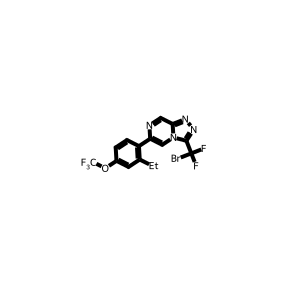 CCc1cc(OC(F)(F)F)ccc1-c1cn2c(C(F)(F)Br)nnc2cn1